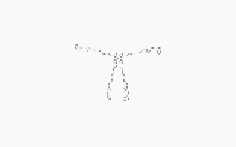 C(CCCOC(OCCCCCCOCC1CO1)(OCCCCCCOCC1CO1)OCCCCCCOCC1CO1)CCOCC1CO1